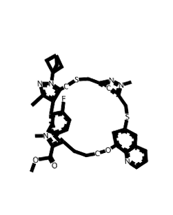 COC(=O)c1c2c3ccc(F)c(c3n1C)-c1c(C)nn(C34CC(C3)C4)c1CSCc1cc(n(C)n1)CSc1cc(c3ncccc3c1)OCCC2